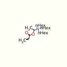 C=CC(=O)OC(C)[N+](CCCCCC)(CCCCCC)CCCCCC